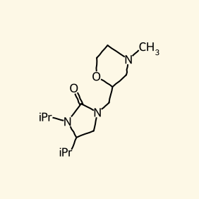 CC(C)C1CN(CC2CN(C)CCO2)C(=O)N1C(C)C